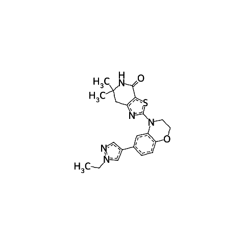 CCn1cc(-c2ccc3c(c2)N(c2nc4c(s2)C(=O)NC(C)(C)C4)CCO3)cn1